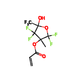 C=CC(=O)OC1(C)C(F)(F)OC(O)(C(F)(F)F)C1(F)F